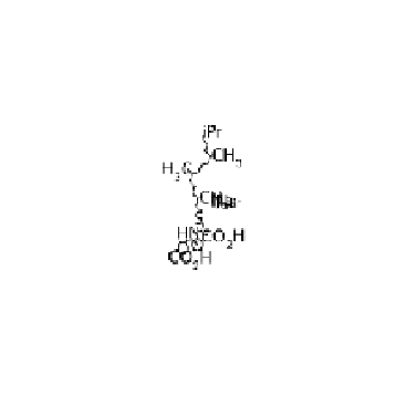 C/C(=C\CSC[C@H](NC(=O)COCC(=O)O)C(=O)O)CCCC(C)CCCC(C)CCCC(C)C.[Na].[Na]